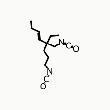 CC/C=C/C(CC)(CCCN=C=O)CN=C=O